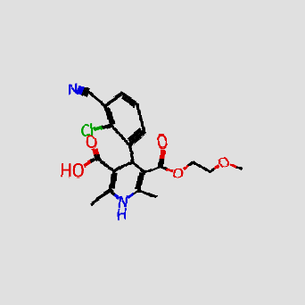 COCCOC(=O)C1=C(C)NC(C)=C(C(=O)O)C1c1cccc(C#N)c1Cl